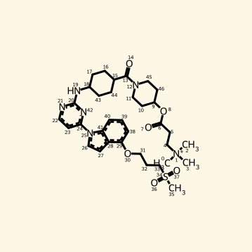 C[N+](C)(C)CCC(=O)OC1CCN(C(=O)C2CCC(Nc3nccc(-n4ccc5c(OCCCS(C)(=O)=O)cccc54)n3)CC2)CC1